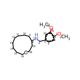 COc1ccc(CNC2CCCCCCCCCCC2)cc1OC